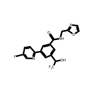 O=C(NCc1ncco1)c1cc(-c2ccc(F)cn2)cc(C(O)C(F)(F)F)c1